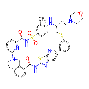 O=C(NS(=O)(=O)c1ccc(N[C@H](CCN2CCOCC2)CSc2ccccc2)c(C(F)(F)F)c1)c1cccc(N2CCc3cccc(C(=O)Nc4nc5cccnc5s4)c3C2)n1